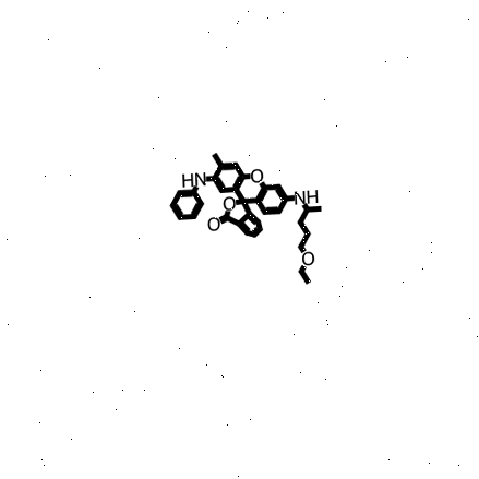 CCOCCCC(C)Nc1ccc2c(c1)Oc1cc(C)c(Nc3ccccc3)cc1C21OC(=O)c2ccccc21